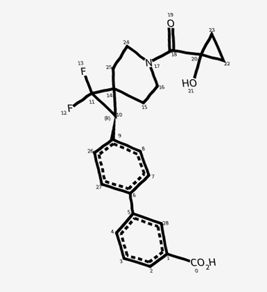 O=C(O)c1cccc(-c2ccc([C@H]3C(F)(F)C34CCN(C(=O)C3(O)CC3)CC4)cc2)c1